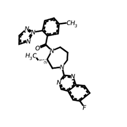 CC[C@H]1CN(c2ncc3cc(F)ccc3n2)CCCN1C(=O)c1cc(C)ccc1-n1nccn1